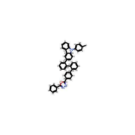 Cc1ccc(-n2c3ccccc3c3cc(-c4ccccc4-c4ccccc4-c4ccc(-c5nnc(-c6ccccc6)o5)cc4)ccc32)cc1